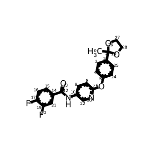 CC1(c2ccc(Oc3ccc(NC(=O)c4ccc(F)c(F)c4)cn3)cc2)OCCO1